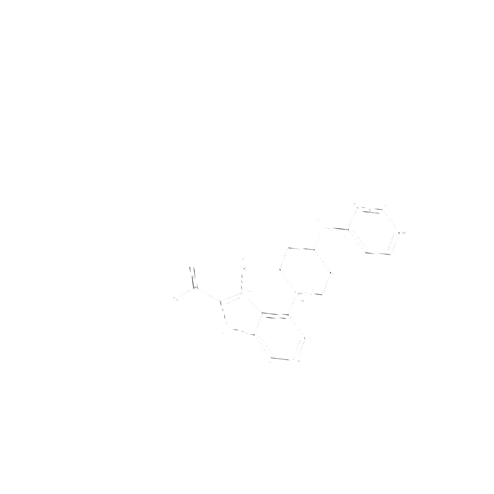 NC(=O)c1sc2cncc(N3CCC(Oc4ccccc4)CC3)c2c1N